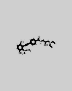 CCN(CC)CC(O)CNC(=O)c1ccc(C#Cc2c(O)ccc(N)c2N(C)N)cc1